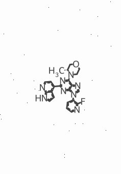 C[C@@H]1COCCN1c1nc(-c2ccnc3[nH]ccc23)nc2c1ncn2-c1cccnc1F